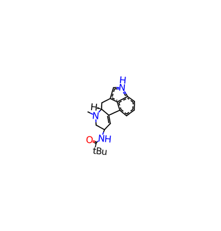 CN1CC(NC(=O)C(C)(C)C)C=C2c3cccc4[nH]cc(c34)C[C@H]21